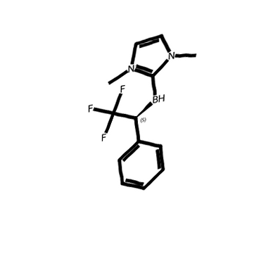 Cn1cc[n+](C)c1B[C@@H](c1ccccc1)C(F)(F)F